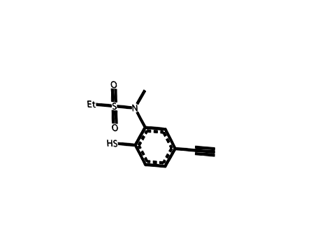 C#Cc1ccc(S)c(N(C)S(=O)(=O)CC)c1